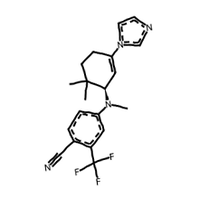 CN(c1ccc(C#N)c(C(F)(F)F)c1)[C@@H]1C=C(n2ccnc2)CCC1(C)C